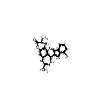 CC1=NN=C(c2sc3c(F)cccc3c2C)c2cc3c(cc2C1)OC(=O)C(C)N3